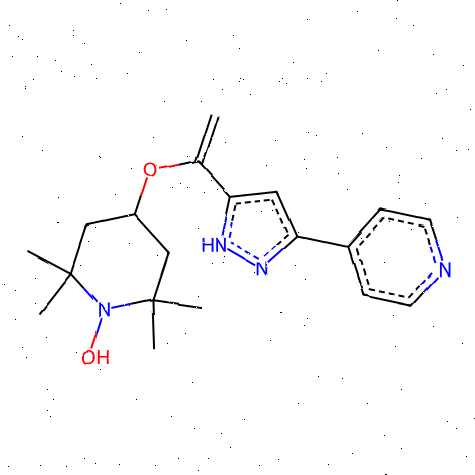 C=C(OC1CC(C)(C)N(O)C(C)(C)C1)c1cc(-c2ccncc2)n[nH]1